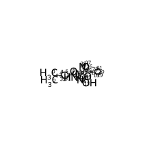 CC(C)c1ccc(C(=O)Nc2nc(O)c(OCc3ccccc3)c(-c3ccccn3)n2)cc1